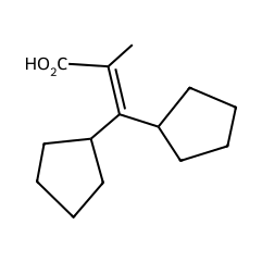 CC(C(=O)O)=C(C1CCCC1)C1CCCC1